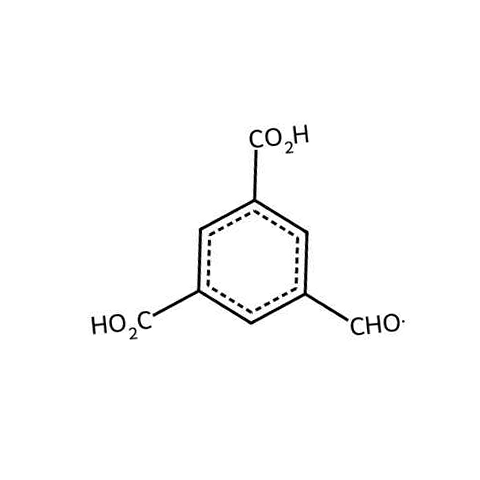 O=[C]c1cc(C(=O)O)cc(C(=O)O)c1